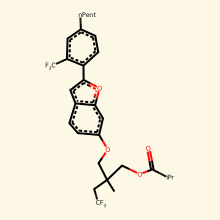 CCCCCc1ccc(-c2cc3ccc(OCC(C)(COC(=O)C(C)C)CC(F)(F)F)cc3o2)c(C(F)(F)F)c1